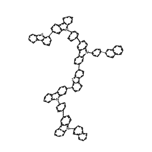 c1ccc2cc(-c3ccc(-n4c5ccc(-c6ccc(-n7c8ccccc8c8ccc(-c9cccc%10c9sc9ccccc9%10)cc87)cc6)cc5c5ccc(-c6ccc7c(c6)sc6c(-c8ccc9c%10ccccc%10n(-c%10ccc(-c%11ccc%12c(c%11)c%11ccccc%11n%12-c%11ccc%12ccccc%12c%11)cc%10)c9c8)cccc67)cc54)cc3)ccc2c1